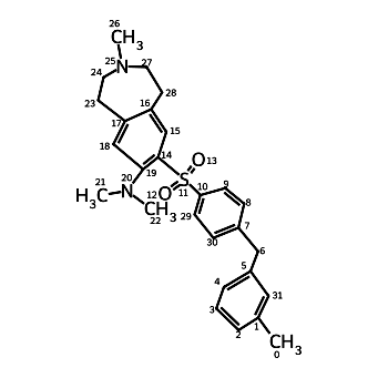 Cc1cccc(Cc2ccc(S(=O)(=O)c3cc4c(cc3N(C)C)CCN(C)CC4)cc2)c1